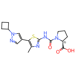 Cc1nc(NC(=O)N2CCC[C@H]2C(=O)O)sc1-c1cnn(C2CCC2)c1